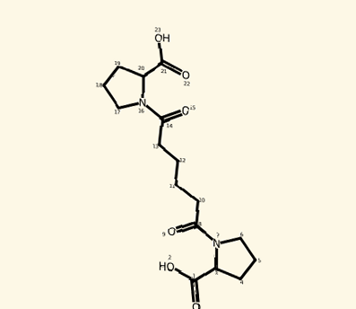 O=C(O)C1CCCN1C(=O)CCCCC(=O)N1CCCC1C(=O)O